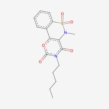 CCCCCn1c(=O)oc2c(c1=O)N(C)S(=O)(=O)c1ccccc1-2